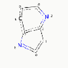 C1=Cc2ncccc2N=1